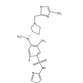 Cc1coc(CN2CC[C@H](N(C)c3cc(F)c(S(=O)(=O)Nc4cscn4)cc3C)C2)n1